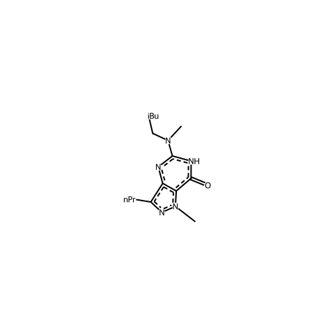 CCCc1nn(C)c2c(=O)[nH]c(N(C)CC(C)CC)nc12